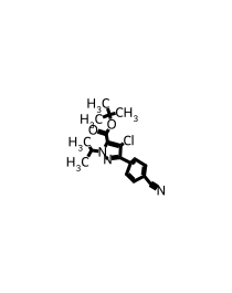 CC(C)n1nc(-c2ccc(C#N)cc2)c(Cl)c1C(=O)OC(C)(C)C